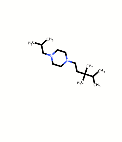 CC(C)CN1CCN(CCC(C)(C)C(C)C)CC1